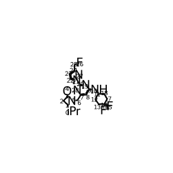 CC(C)C1CC(=O)N1Cc1cc(NC2CCC(F)(F)CC2)nc(-n2ccc(CF)n2)n1